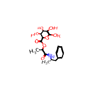 C[C@@H](Cc1ccccc1)NC(=O)[C@@H](C)OC(=O)C1OC(O)C(O)C(O)C1O